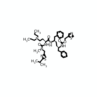 CCCN(CCC)CC[C@H](NC(=O)N(C)Cc1csc(C(C)C)n1)C(=O)N[C@H](CC[C@H](Cc1ccccc1)NC(=O)OCc1cncs1)Cc1ccccc1